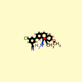 CO[C@H]1CC[C@@]2(CCc3ccc(-c4cc(Cl)cc(C#N)c4)cc3C23N=C(C)C(N)=N3)CC1